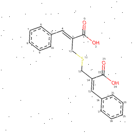 O=C(O)C(=Cc1ccccc1)CSCC(=Cc1ccccc1)C(=O)O